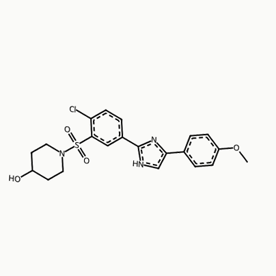 COc1ccc(-c2c[nH]c(-c3ccc(Cl)c(S(=O)(=O)N4CCC(O)CC4)c3)n2)cc1